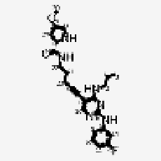 CCCNc1nc(Nc2cccc(F)c2)ncc1C#CCCCNC(=O)[C@@H]1C[C@@H](OC)CN1